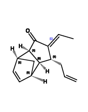 C=CC[C@H]1/C(=C\C)C(=O)[C@H]2[C@@H]1[C@H]1C=C[C@@H]2C1